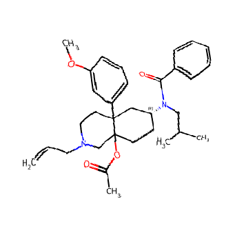 C=CCN1CCC2(c3cccc(OC)c3)C[C@H](N(CC(C)C)C(=O)c3ccccc3)CCC2(OC(C)=O)C1